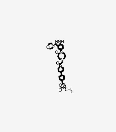 Cn1nc(-c2ccc(C3=CCN(C(=O)CN4CCCN(c5ccc6[nH]nc(N7CCOCC7)c6c5)C(=O)CC4)CC3)cc2)oc1=O